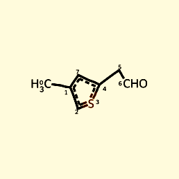 Cc1csc(CC=O)c1